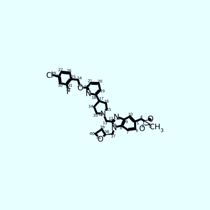 CS(=O)(=O)Cc1ccc2c(c1)nc(CN1CCC(c3cccc(OCc4ccc(Cl)cc4F)n3)CC1)n2C[C@@H]1CCO1